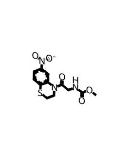 COC(=O)NCC(=O)N1CCSc2ccc([N+](=O)[O-])cc21